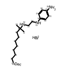 Br.CCCCCCCCCCCCCCCCCC(C)(C)NCCNc1ccc(N)cc1